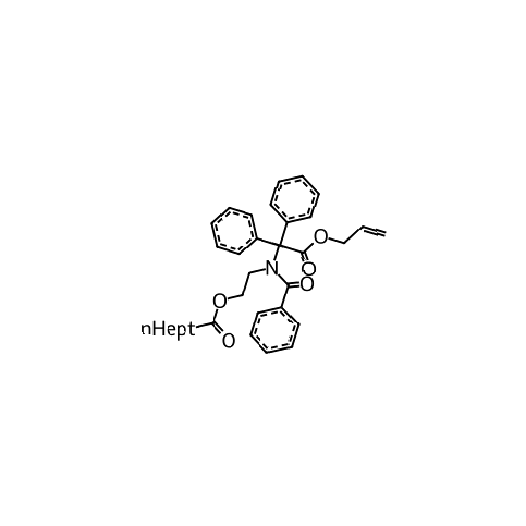 C=CCOC(=O)C(c1ccccc1)(c1ccccc1)N(CCOC(=O)CCCCCCC)C(=O)c1ccccc1